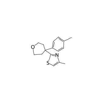 Cc1ccc(C2(c3nc(C)cs3)CCOCC2)cc1